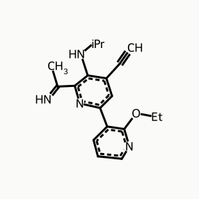 C#Cc1cc(-c2cccnc2OCC)nc(C(C)=N)c1NC(C)C